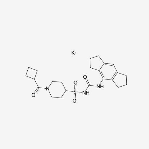 O=C(Nc1c2c(cc3c1CCC3)CCC2)NS(=O)(=O)C1CCN(C(=O)C2CCC2)CC1.[K]